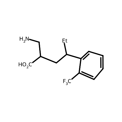 CCC(CC(CN)C(=O)O)c1ccccc1C(F)(F)F